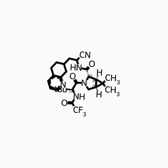 CC(C)(C)[C@H](NC(=O)C(F)(F)F)C(=O)N1C[C@H]2[C@@H]([C@H]1C(=O)NC(C#N)CC1CCc3cccnc3C1)C2(C)C